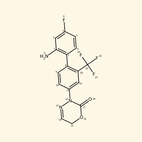 Nc1cc(F)ccc1-c1ccc(N2N=CCOC2=O)cc1C(F)(F)F